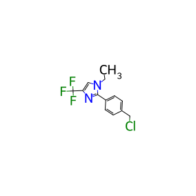 CCn1cc(C(F)(F)F)nc1-c1ccc(CCl)cc1